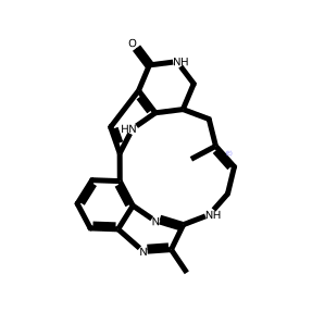 C/C1=C\CNc2nc3c(cccc3nc2C)-c2cc3c([nH]2)C(CNC3=O)C1